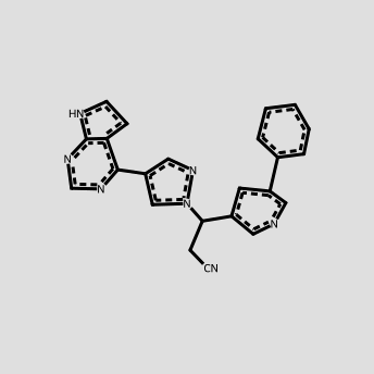 N#CCC(c1cncc(-c2ccccc2)c1)n1cc(-c2ncnc3[nH]ccc23)cn1